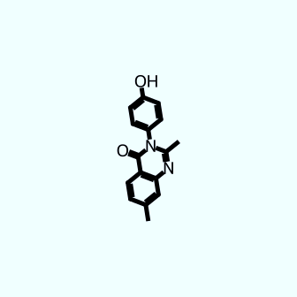 Cc1ccc2c(=O)n(-c3ccc(O)cc3)c(C)nc2c1